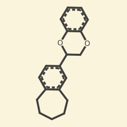 c1ccc2c(c1)OCC(c1ccc3c(c1)CCCCC3)O2